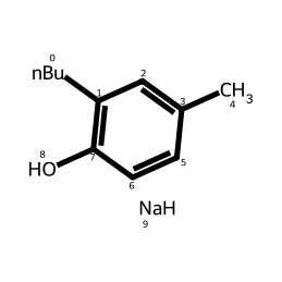 CCCCc1cc(C)ccc1O.[NaH]